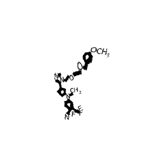 CCN(c1ccc(C#N)c(C(F)(F)F)c1)C1CC=C(c2cncn2CCOCCOCc2ccc(OC)cc2)C1